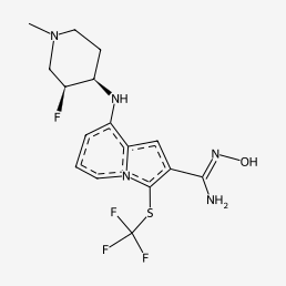 CN1CC[C@@H](Nc2cccn3c(SC(F)(F)F)c(/C(N)=N/O)cc23)[C@@H](F)C1